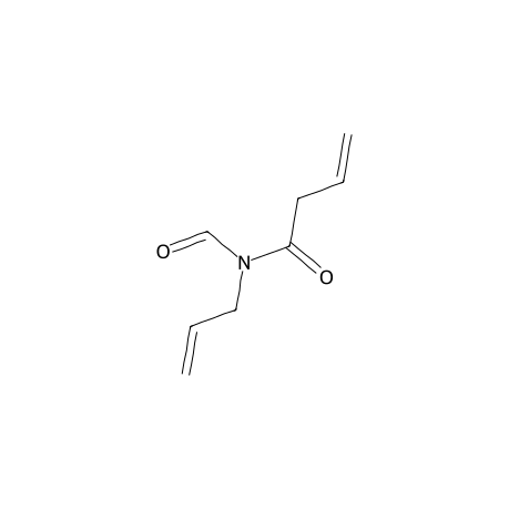 C=CCC(=O)N(C=O)CC=C